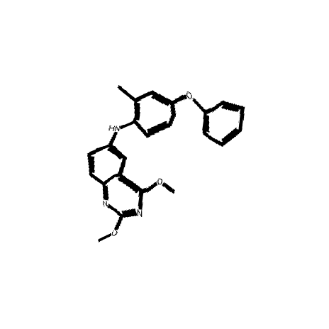 COc1nc(OC)c2cc(Nc3ccc(Oc4ccccc4)cc3C)ccc2n1